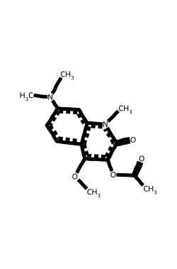 COc1c(OC(C)=O)c(=O)n(C)c2cc(N(C)C)ccc12